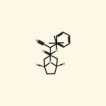 CC(C)(C)OC(=O)N1[C@@H]2CC[C@H]1CN(C(C#N)c1ccccc1)C2